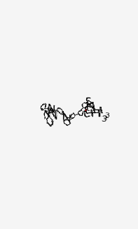 CC1(C)c2ccc(-c3ccc4c(c3)c3ccccc3n4-c3cccc(-c4nc(-c5ccccc5)nc(-c5ccccc5)n4)c3)cc2-c2ccc3scnc3c21